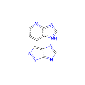 C1=NC2=CN=NC2=N1.c1cnc2nc[nH]c2c1